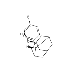 CO[C@]12CC3CC(C1)[C@@H](c1ccc(F)cc1)C(C3)C2